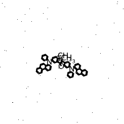 C[Si]1(C)c2ccc(N(c3ccccc3)c3cccc4c3ccc3ccccc34)cc2-c2oc3cc(N(c4ccccc4)c4cccc5c4ccc4ccccc45)ccc3c21